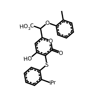 Cc1ccccc1OC(C(=O)O)c1cc(O)c(Sc2ccccc2C(C)C)c(=O)o1